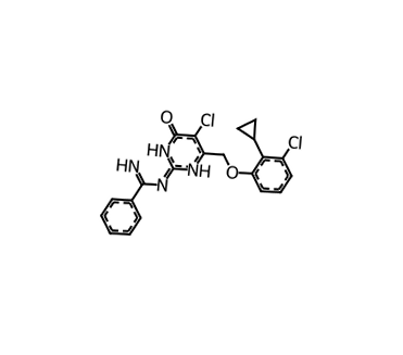 N=C(/N=c1/[nH]c(COc2cccc(Cl)c2C2CC2)c(Cl)c(=O)[nH]1)c1ccccc1